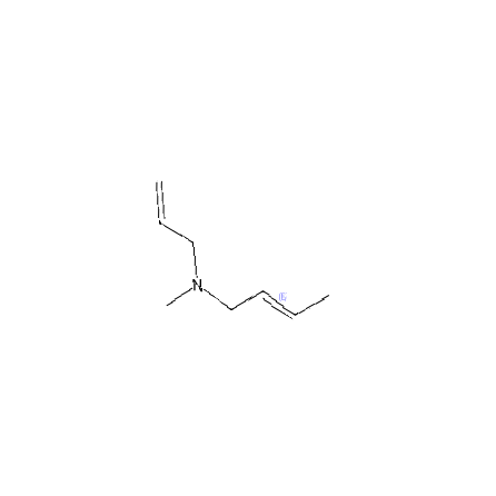 C=CCN(C)C/C=C/C